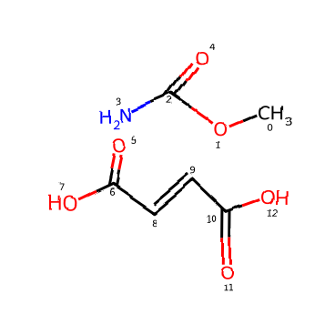 COC(N)=O.O=C(O)C=CC(=O)O